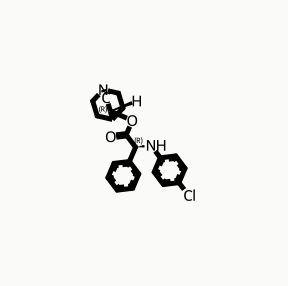 O=C(O[C@H]1CN2CCC1CC2)[C@H](Nc1ccc(Cl)cc1)c1ccccc1